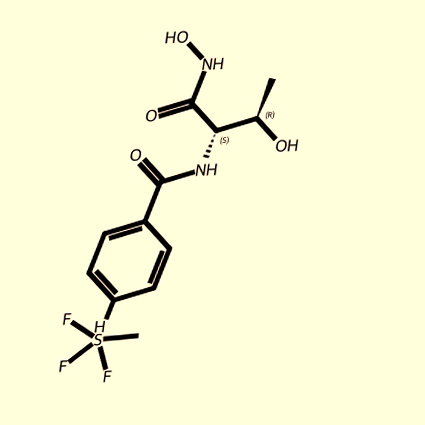 C[C@@H](O)[C@H](NC(=O)c1ccc([SH](C)(F)(F)F)cc1)C(=O)NO